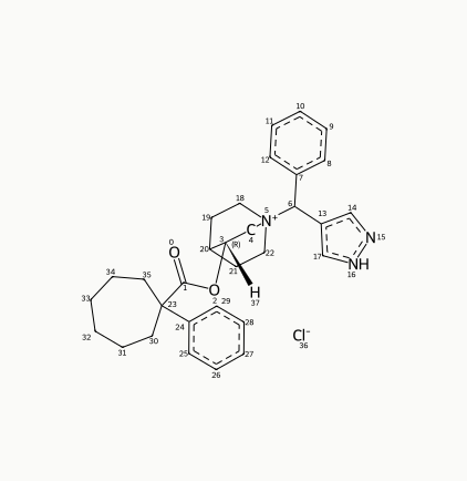 O=C(O[C@H]1C[N+]2(C(c3ccccc3)c3cn[nH]c3)CCC1CC2)C1(c2ccccc2)CCCCCC1.[Cl-]